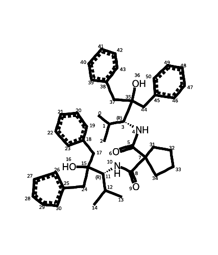 CC(C)[C@@H](NC(=O)C1(C(=O)N[C@H](C(C)C)C(O)(Cc2ccccc2)Cc2ccccc2)CCCC1)C(O)(Cc1ccccc1)Cc1ccccc1